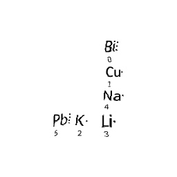 [Bi].[Cu].[K].[Li].[Na].[Pb]